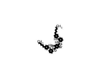 CCCCCCc1ccc(Nc2ccccc2NC(=O)c2cc(Br)c(C(=O)Nc3ccccc3Nc3ccc(CCCCCC)cc3)cc2Br)cc1